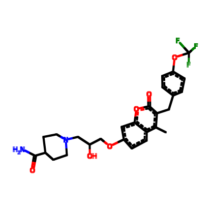 Cc1c(Cc2ccc(OC(F)(F)F)cc2)c(=O)oc2cc(OCC(O)CN3CCC(C(N)=O)CC3)ccc12